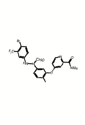 CNC(=O)c1cc(Oc2cc(N(C=O)Nc3ccc(Br)c(C(F)(F)F)c3)ccc2C)ccn1